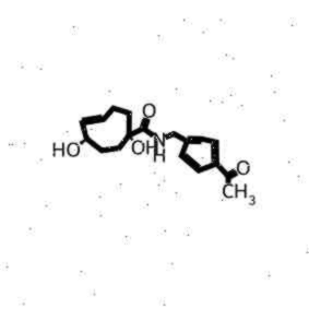 CC(=O)c1ccc(CNC(=O)[C@]2(O)CC/C=C/[C@H](O)CC2)cc1